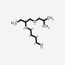 CCC(COCC(C)C)OCCCCCl